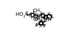 C[C@@H]1CN(CC(=O)O)C[C@H](C)N1CC(=O)N1CCc2c(n(Cc3ccc(F)cc3F)c3ncccc23)C1